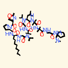 CCCCCCCCC(NC(=O)C1CCCN1C(=O)c1coc(C)n1)C(=O)NCC(=O)N(C(C)C)C(C)(C)C(=O)NCC(=O)N(C(C)C)C(CC(C)C)C(=O)NC(C)(C)C(=O)NC(C)(C)C(=O)NCCC(=O)NC1(CN(C)C)CCCC1